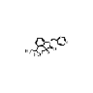 C[C@H](O)c1cccc2c1C(F)(F)C(=O)N2Cc1ccncc1